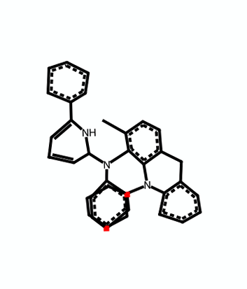 Cc1ccc2c(c1N(c1ccccc1)C1C=CC=C(c3ccccc3)N1)N(C1CCCCC1)c1ccccc1C2